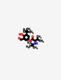 CC(C)(C)c1cccc(C=O)c1O.CC(C)[C@H](NC(C)(C)C)C(=O)O